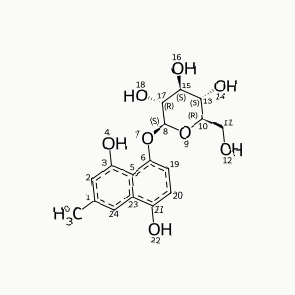 Cc1cc(O)c2c(O[C@@H]3O[C@H](CO)[C@@H](O)[C@H](O)[C@H]3O)ccc(O)c2c1